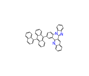 c1ccc2nc3c4cc(-c5c6ccccc6c(-c6cccc7ccccc67)c6ccccc56)ccc4n4c5ccccc5nc4c3cc2c1